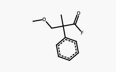 COCC(C)(C(=O)F)c1ccccc1